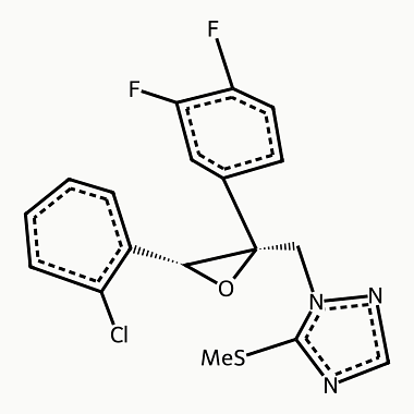 CSc1ncnn1C[C@]1(c2ccc(F)c(F)c2)O[C@@H]1c1ccccc1Cl